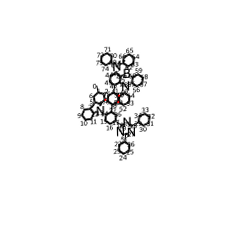 Cc1ccc2c(c1)c1ccccc1n2-c1ccc(-c2nc(-c3ccccc3)nc(-c3ccccc3)n2)cc1-c1ccc(-c2ccc3c4c2N(c2ccccc2)c2ccccc2B4c2ccccc2N3c2ccccc2)cc1